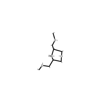 COCC1[CH]OCC(COC)N1